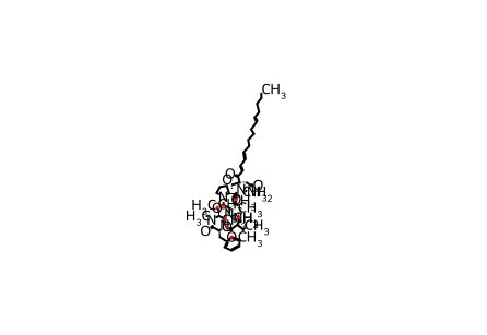 CCCCCC=CCCCCC=CC=CC(=O)[C@@]([C]=O)(CC(N)=O)N(C)C(=O)[C@@H]1CCCN1C(=O)[C@H](C(C)C)N(C)C(=O)[C@H](C(C)C)N(C)C(=O)[C@H](Cc1ccccc1)N(C)C(=O)[C@@H](N)C(C)C